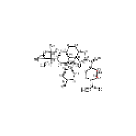 O=C(O)C12CCC(C(=O)N3CC4CCc5cc(C(F)(C(F)(F)F)C(F)(F)F)ccc5C4(S(=O)(=O)c4ccc(F)cc4)C3)(CC1)CC2